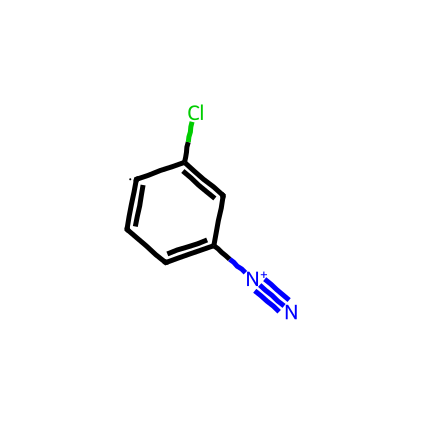 N#[N+]c1cc[c]c(Cl)c1